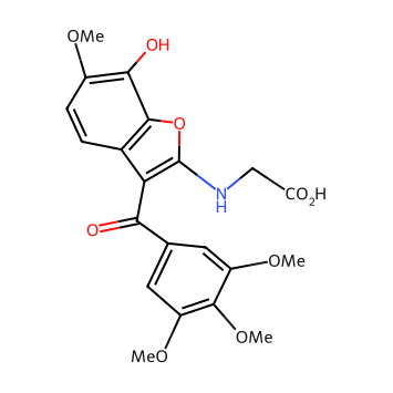 COc1cc(C(=O)c2c(NCC(=O)O)oc3c(O)c(OC)ccc23)cc(OC)c1OC